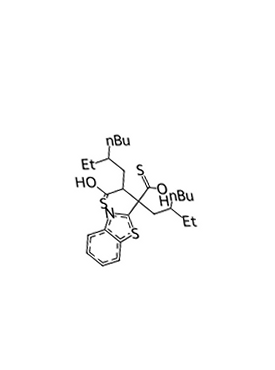 CCCCC(CC)CC(C(O)=S)C(CC(CC)CCCC)(C(O)=S)c1nc2ccccc2s1